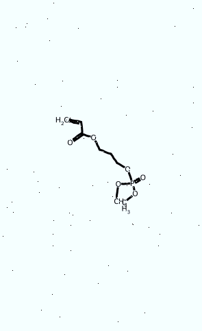 C=CC(=O)OCCCOP(=O)(OC)OC